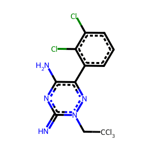 N=c1nc(N)c(-c2cccc(Cl)c2Cl)nn1CC(Cl)(Cl)Cl